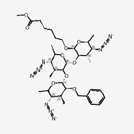 COC(=O)CCCCCO[C@H]1OC(C)[C@@H](N=[N+]=[N-])[C@H](C)C1O[C@H]1OC(C)[C@@H](N=[N+]=[N-])[C@H](C)C1O[C@H]1OC(C)[C@@H](N=[N+]=[N-])[C@H](C)C1OCc1ccccc1